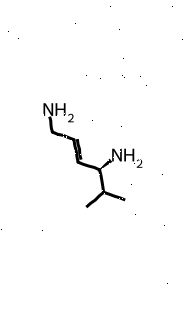 CC(C)[C@H](N)/C=C/CN